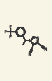 CC(c1cccc(C(F)(F)F)c1)n1cnc(C#N)c1C#N